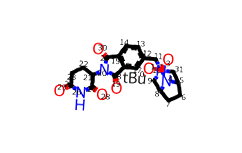 CC(C)(C)OC(=O)N1C2CCC1CN(Cc1ccc3c(c1)C(=O)N(C1CCC(=O)NC1=O)C3=O)C2